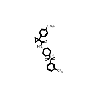 COc1ccc(C2(C(=O)N[C@H]3CC[C@](F)(S(=O)(=O)c4cccc(C(F)(F)F)c4)CC3)CC2)cc1